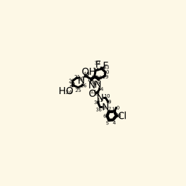 Cc1c(Cl)cccc1N1CCN(C(=O)Cn2nc(C(O)N3CCC(O)CC3)c3c2CCC(F)(F)C3)CC1